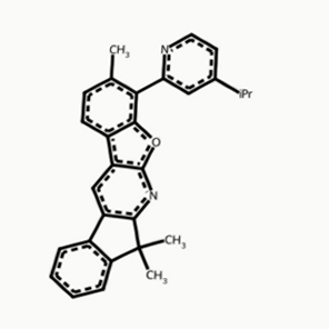 Cc1ccc2c(oc3nc4c(cc32)-c2ccccc2C4(C)C)c1-c1cc(C(C)C)ccn1